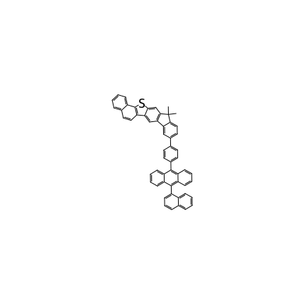 CC1(C)c2ccc(-c3ccc(-c4c5ccccc5c(-c5cccc6ccccc56)c5ccccc45)cc3)cc2-c2cc3c(cc21)sc1c2ccccc2ccc31